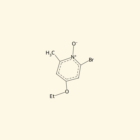 CCOc1cc(C)[n+]([O-])c(Br)c1